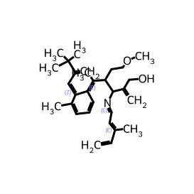 C=C/C(C)=C/C=N/C(C(=C)CO)C(CCOC)/C(C)=c1\cccc(C)\c1=C\C(=C)C(C)(C)C